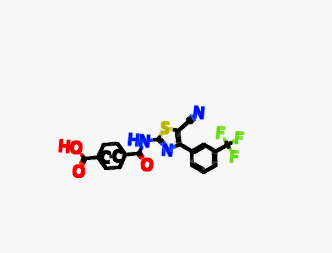 N#Cc1sc(NC(=O)C23CCC(C(=O)O)(CC2)CC3)nc1-c1cccc(C(F)(F)F)c1